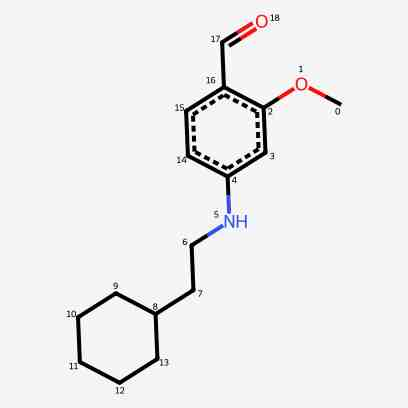 COc1cc(NCCC2CCCCC2)ccc1C=O